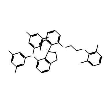 Cc1cccc(C)c1SCCNc1cccc2c1[C@@]1(CC2)CCc2cccc(P(c3cc(C(C)(C)C)cc(C(C)(C)C)c3)c3cc(C(C)(C)C)cc(C(C)(C)C)c3)c21